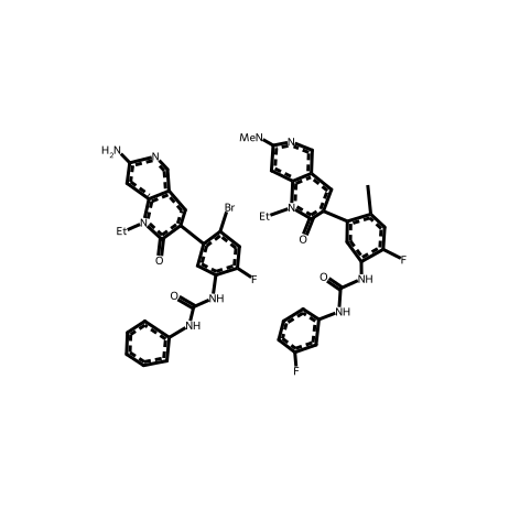 CCn1c(=O)c(-c2cc(NC(=O)Nc3cccc(F)c3)c(F)cc2C)cc2cnc(NC)cc21.CCn1c(=O)c(-c2cc(NC(=O)Nc3ccccc3)c(F)cc2Br)cc2cnc(N)cc21